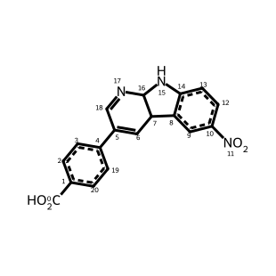 O=C(O)c1ccc(C2=CC3c4cc([N+](=O)[O-])ccc4NC3N=C2)cc1